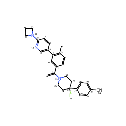 C=C(c1ccc(C)c(-c2ccc(N3CCC3)nc2)c1)N1CCC(F)(c2ccc(C#N)cc2)CC1